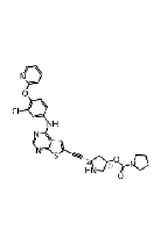 O=C(O[C@H]1CN[C@H](C#Cc2cc3c(Nc4ccc(Oc5ccccn5)c(Cl)c4)ncnc3s2)C1)N1CCCC1